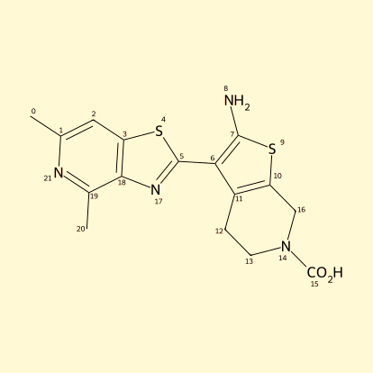 Cc1cc2sc(-c3c(N)sc4c3CCN(C(=O)O)C4)nc2c(C)n1